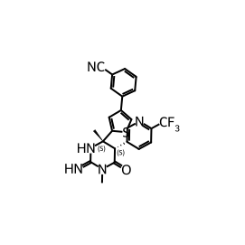 CN1C(=N)N[C@](C)(c2cc(-c3cccc(C#N)c3)cs2)[C@H](c2ccc(C(F)(F)F)nc2)C1=O